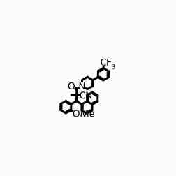 COc1ccccc1C(c1cccc2ccccc12)C(C)(C#N)C(=O)N1CCC(c2cccc(C(F)(F)F)c2)CC1